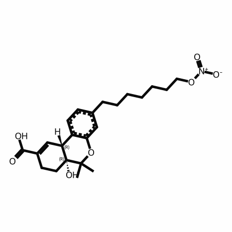 CC1(C)Oc2cc(CCCCCCCO[N+](=O)[O-])ccc2[C@H]2C=C(C(=O)O)CC[C@@]21O